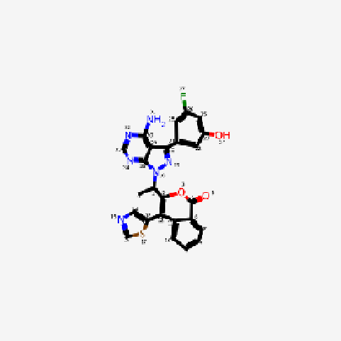 CC(c1oc(=O)c2ccccc2c1-c1cncs1)n1nc(-c2cc(O)cc(F)c2)c2c(N)ncnc21